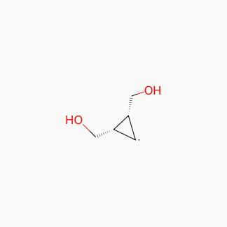 OC[C@H]1[CH][C@H]1CO